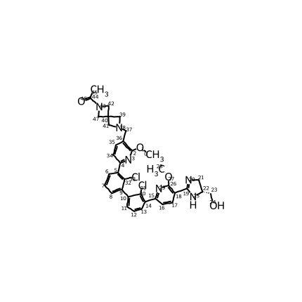 COc1nc(-c2cccc(-c3cccc(-c4ccc(C5=NC[C@H](CO)N5)c(OC)n4)c3Cl)c2Cl)ccc1CN1CC2(C1)CN(C(C)=O)C2